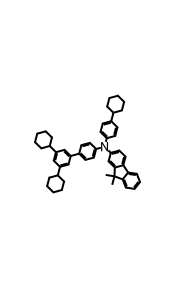 CC1(C)c2ccccc2-c2ccc(N(c3ccc(-c4cc(C5CCCCC5)cc(C5CCCCC5)c4)cc3)c3ccc(C4CCCCC4)cc3)cc21